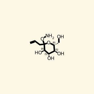 C=CCC1(ON)O[C@H](CO)[C@@H](O)[C@H](O)[C@H]1O